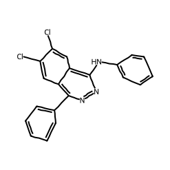 Clc1cc2c(Nc3ccccc3)nnc(-c3ccccc3)c2cc1Cl